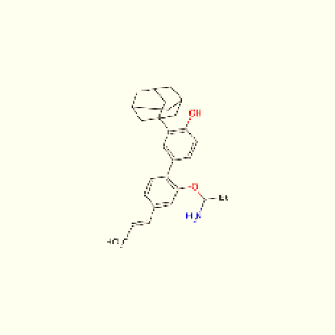 CCC(N)Oc1cc(C=CC(=O)O)ccc1-c1ccc(O)c(C23CC4CC(CC(C4)C2)C3)c1